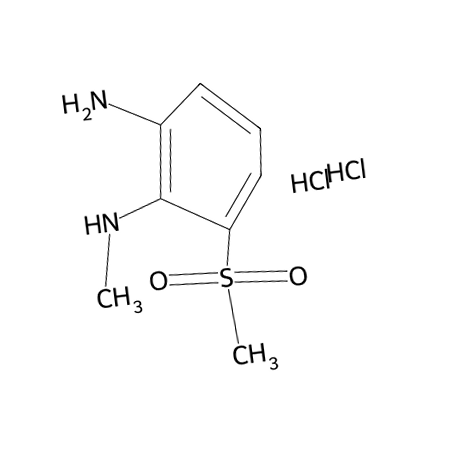 CNc1c(N)cccc1S(C)(=O)=O.Cl.Cl